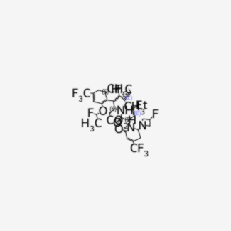 C/C=C(/C)C(F)=C(C1=C(OC(C)F)C=C(C(F)(F)F)C[C@@H]1C)[C@H](CC(=O)O)NC(=O)[C@H](/C=C/CC)N1C(=O)C=C(C(F)(F)F)CC1N1CC(F)C1